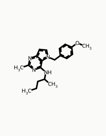 CCCC(C)Nc1nc(C)nc2ccn(Cc3ccc(OC)cc3)c12